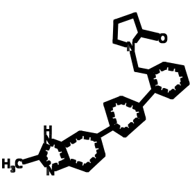 Cc1nc2ccc(-c3ccc(-c4ccccc4CN4CCCC4=O)cc3)cc2[nH]1